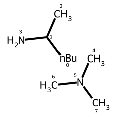 CCCCC(C)N.CN(C)C